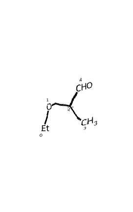 CCO[C](C)C=O